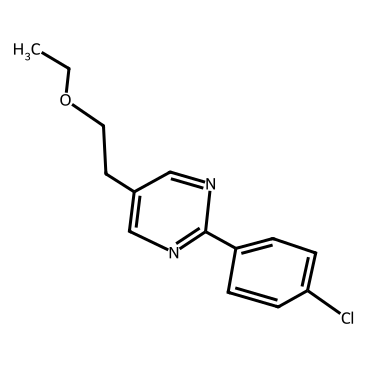 CCOCCc1cnc(-c2ccc(Cl)cc2)nc1